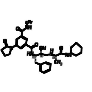 CCCNC(=O)c1cc(C(=O)N[C@@H](Cc2ccccc2)[C@H](O)CN[C@@H](C)C(=O)NC2CCCCC2)cc(N2CCCC2=O)c1